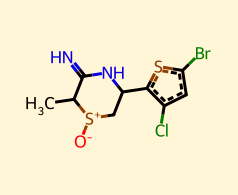 CC1C(=N)NC(c2sc(Br)cc2Cl)C[S+]1[O-]